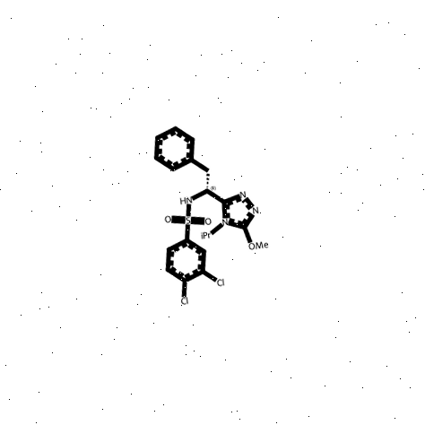 COc1nnc([C@@H](Cc2ccccc2)NS(=O)(=O)c2ccc(Cl)c(Cl)c2)n1C(C)C